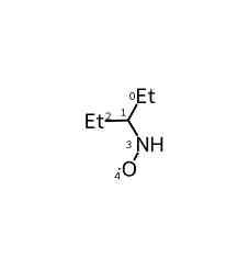 CCC(CC)N[O]